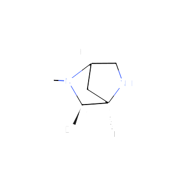 CC[C@@H]1[C@H]2C[C@H](CN2)N1C